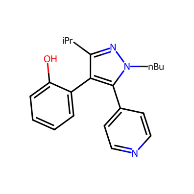 CCCCn1nc(C(C)C)c(-c2ccccc2O)c1-c1ccncc1